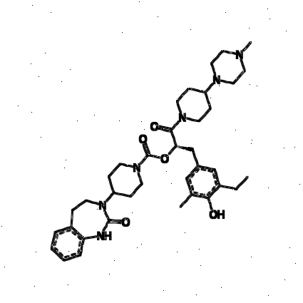 CCc1cc(C[C@@H](OC(=O)N2CCC(N3CCc4ccccc4NC3=O)CC2)C(=O)N2CCC(N3CCN(C)CC3)CC2)cc(C)c1O